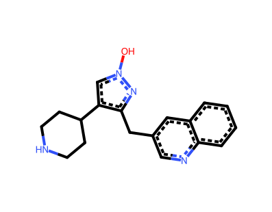 On1cc(C2CCNCC2)c(Cc2cnc3ccccc3c2)n1